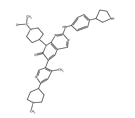 Cc1cc(C2CCN(C)CC2)ncc1-c1cc2cnc(Nc3ccc(C4CCNC4)cc3)nc2n(C2CCN([S+](C)[O-])CC2)c1=O